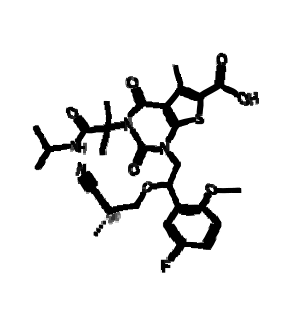 COc1ccc(F)cc1C(Cn1c(=O)n(C(C)(C)C(=O)NC(C)C)c(=O)c2c(C)c(C(=O)O)sc21)OC[C@H](C)C#N